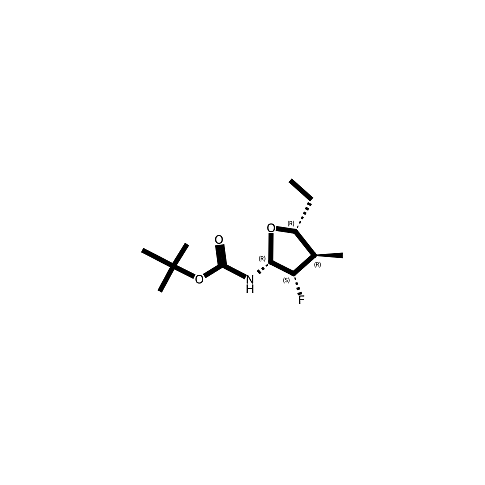 CC[C@H]1O[C@@H](NC(=O)OC(C)(C)C)[C@@H](F)[C@@H]1C